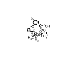 CC(C)(C)OC(=O)N1CC[C@@H]1CO.CC(C)(C)OC(=O)N1CC[C@@H]1COc1cncc(Br)c1